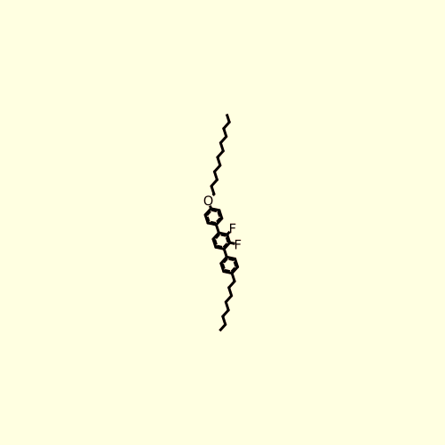 CCCCCCCCCCCCOc1ccc(-c2ccc(-c3ccc(CCCCCCCC)cc3)c(F)c2F)cc1